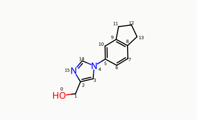 OCc1cn(-c2ccc3c(c2)CCC3)cn1